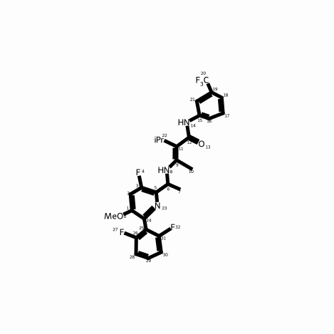 COc1cc(F)c(C(C)N/C(C)=C(/C(=O)Nc2cccc(C(F)(F)F)c2)C(C)C)nc1-c1c(F)cccc1F